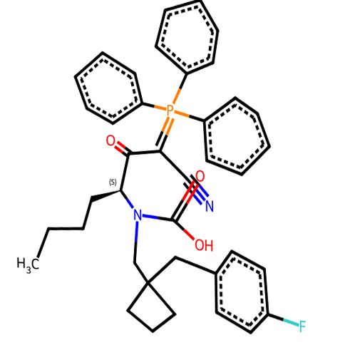 CCCC[C@@H](C(=O)C(C#N)=P(c1ccccc1)(c1ccccc1)c1ccccc1)N(CC1(Cc2ccc(F)cc2)CCC1)C(=O)O